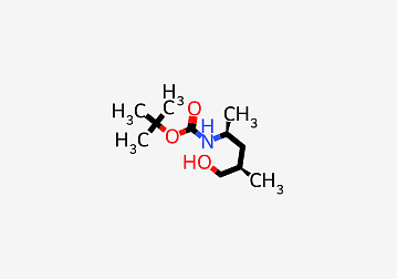 C[C@@H](CO)C[C@H](C)NC(=O)OC(C)(C)C